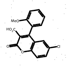 COc1ccccc1-c1c(C(=O)O)c(=O)oc2ccc(Cl)cc12